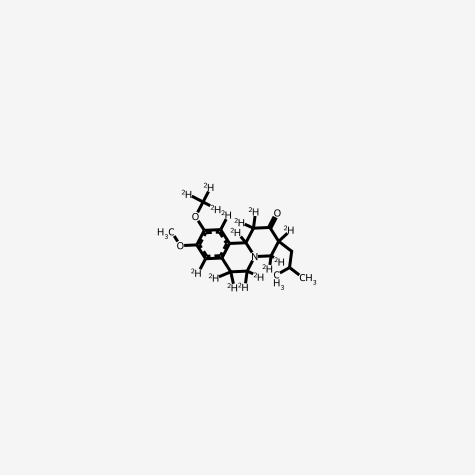 [2H]c1c(OC)c(OC([2H])([2H])[2H])c([2H])c2c1C([2H])([2H])C([2H])([2H])N1C([2H])([2H])C([2H])(CC(C)C)C(=O)C([2H])([2H])C21[2H]